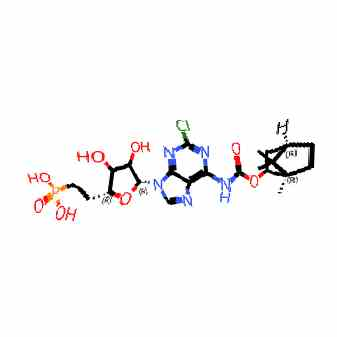 CC1(C)[C@@H]2CC[C@@]1(C)C(OC(=O)Nc1nc(Cl)nc3c1ncn3[C@@H]1O[C@H](CCP(=O)(O)O)C(O)C1O)C2